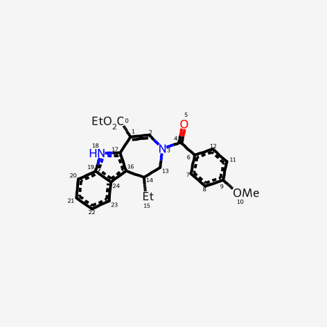 CCOC(=O)C1=CN(C(=O)c2ccc(OC)cc2)CC(CC)c2c1[nH]c1ccccc21